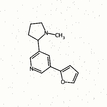 CN1CCCC1c1cncc(-c2ccco2)c1